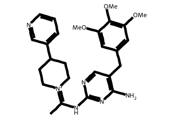 COc1cc(Cc2cnc(NC(C)=[N+]3CCC(c4cccnc4)CC3)nc2N)cc(OC)c1OC